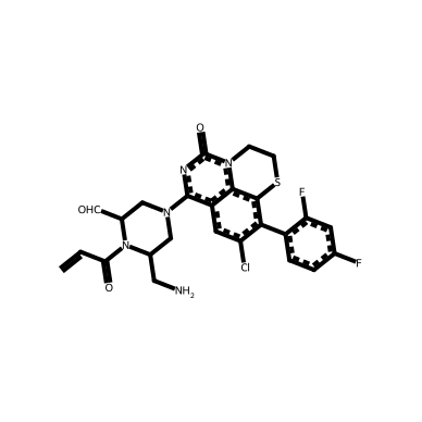 C=CC(=O)N1C(C=O)CN(c2nc(=O)n3c4c(c(-c5ccc(F)cc5F)c(Cl)cc24)SCC3)CC1CN